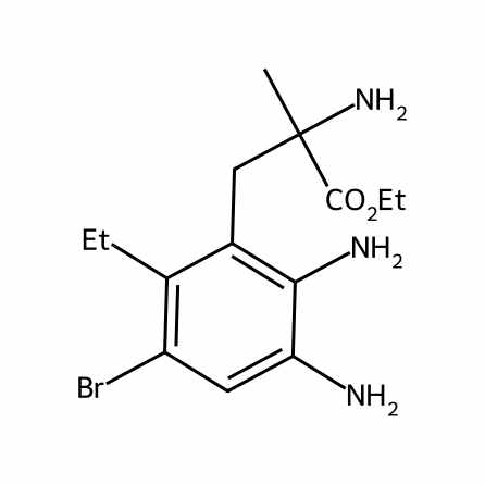 CCOC(=O)C(C)(N)Cc1c(N)c(N)cc(Br)c1CC